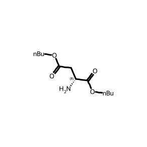 CCCCOC(=O)C[C@@H](N)C(=O)OCCCC